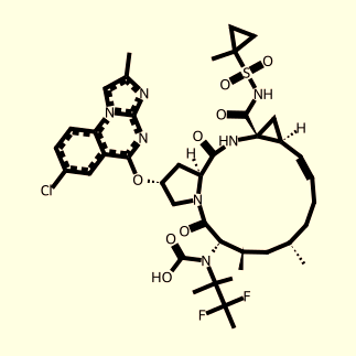 Cc1cn2c(n1)nc(O[C@@H]1C[C@H]3C(=O)N[C@]4(C(=O)NS(=O)(=O)C5(C)CC5)C[C@H]4/C=C\CC[C@H](C)C[C@@H](C)[C@H](N(C(=O)O)C(C)(C)C(C)(F)F)C(=O)N3C1)c1cc(Cl)ccc12